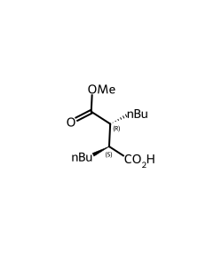 CCCC[C@H](C(=O)O)[C@@H](CCCC)C(=O)OC